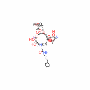 CO[C@]1(C)C[C@H](O[C@H]2[C@H](C)[C@@H](O[C@@H]3O[C@H](C)C[C@H](N(C)C)[C@H]3O)[C@](C)(O)C[C@@H](C)CN(CCC(=O)NCCCCc3ccccc3)[C@H](C)[C@@H](O)[C@](C)(O)[C@@H](I)OC(=O)[C@@H]2C)O[C@@H](C)[C@@H]1O